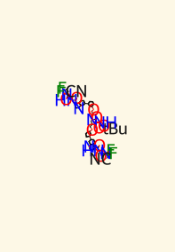 CC(C)(C)OC(=O)NCC(=O)N(CCCOc1cccc(-c2ccc3c(C(=O)NCC(=O)N4CC(F)(F)C[C@H]4C#N)ccnc3c2)c1)CCCOc1cccc(-c2ccc3c(C(=O)NCC(=O)N4CC(F)(F)C[C@H]4C#N)ccnc3c2)c1